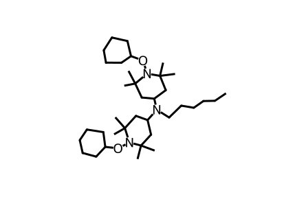 CCCCCCN(C1CC(C)(C)N(OC2CCCCC2)C(C)(C)C1)C1CC(C)(C)N(OC2CCCCC2)C(C)(C)C1